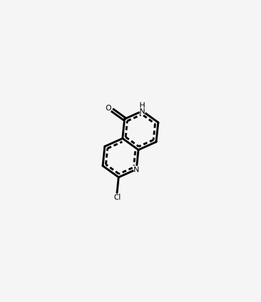 O=c1[nH]ccc2nc(Cl)ccc12